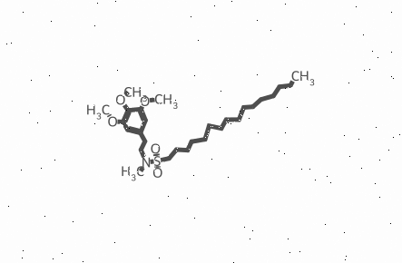 CCCCCCCCCCCCCCCCS(=O)(=O)N(C)CCc1cc(OC)c(OC)c(OC)c1